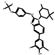 CC1CC(n2c(Nc3ccc(OC(F)(F)F)cc3)nc3cc(-c4cc(F)c(O)c(F)c4)ccc32)CC(C)(C)C1